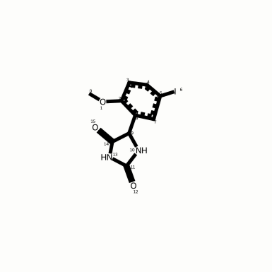 COc1ccc(I)cc1C1NC(=O)NC1=O